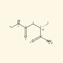 CNC(=O)[CH][C@H](C)C(N)=O